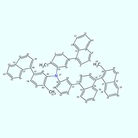 Cc1ccc(-c2cccc3ccccc23)cc1N(c1cccc(-c2ccc(-c3c(C)ccc4ccccc34)c3ccccc23)c1)c1cc(-c2cccc3ccccc23)ccc1C